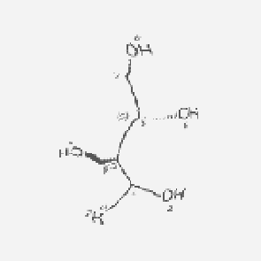 [2H]C(O)[C@@H](O)[C@@H](O)CO